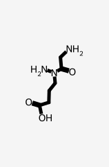 NCC(=O)N(N)CCCC(=O)O